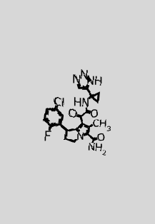 Cc1c(C(=O)C(=O)NC2(c3cnn[nH]3)CC2)c2n(c1C(N)=O)CCC2c1cc(Cl)ccc1F